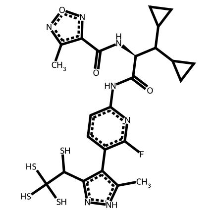 Cc1nonc1C(=O)N[C@H](C(=O)Nc1ccc(-c2c(C(S)C(S)(S)S)n[nH]c2C)c(F)n1)C(C1CC1)C1CC1